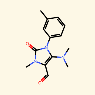 Cc1cccc(-n2c(N(C)C)c(C=O)n(C)c2=O)c1